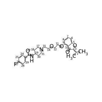 CC(C)=C1Oc2cccc(OCCOCCN3CCC(NC(=O)c4ccc(F)cc4)CC3)c2C1=O